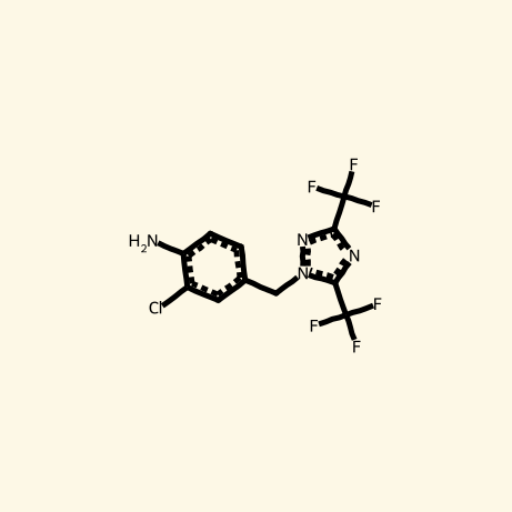 Nc1ccc(Cn2nc(C(F)(F)F)nc2C(F)(F)F)cc1Cl